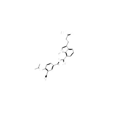 CC(C)Oc1ccc(-c2nc(-c3cccc4c(CCC(=O)O)cn(C)c34)no2)cc1C#N